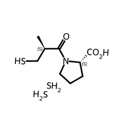 C[C@H](CS)C(=O)N1CCC[C@H]1C(=O)O.S.S